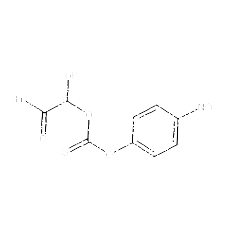 CCCC(OC(=O)Oc1ccc([N+](=O)[O-])cc1)C(=O)C(C)C